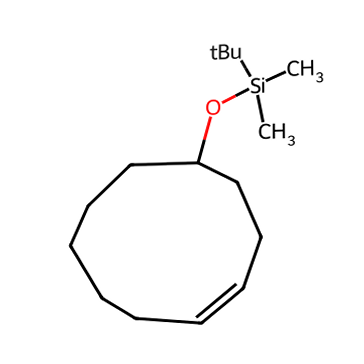 CC(C)(C)[Si](C)(C)OC1CCC=CCCCCC1